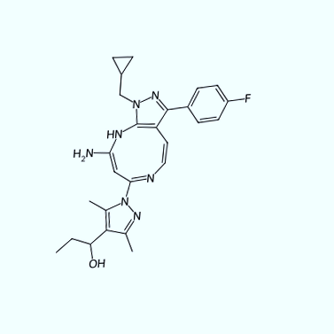 CCC(O)c1c(C)nn(-c2cc(N)[nH]c3c(ccn2)c(-c2ccc(F)cc2)nn3CC2CC2)c1C